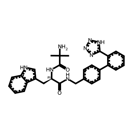 CC(C)(N)C(=O)N[C@H](Cc1c[nH]c2ccccc12)C(=O)NCc1ccc(-c2ccccc2-c2nnn[nH]2)cc1